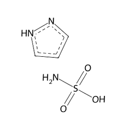 NS(=O)(=O)O.c1cn[nH]c1